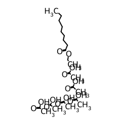 CC(=O)O.CC(=O)O.CC(=O)O.CC(=O)O.CC(=O)O.CC(=O)O.CCCCCCCCC(=O)OCC